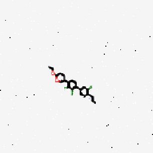 C/C=C/c1ccc(-c2ccc(C3CCC(OCC)OC3)c(F)c2F)cc1F